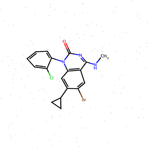 CNc1nc(=O)n(-c2ccccc2Cl)c2cc(C3CC3)c(Br)cc12